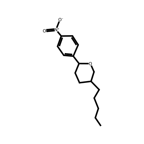 CCCCCC1CCC(c2ccc([N+](=O)[O-])cc2)OC1